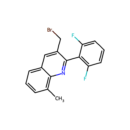 Cc1cccc2cc(CBr)c(-c3c(F)cccc3F)nc12